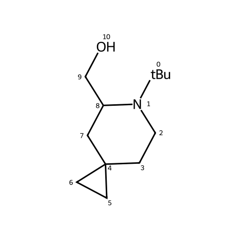 CC(C)(C)N1CCC2(CC2)CC1CO